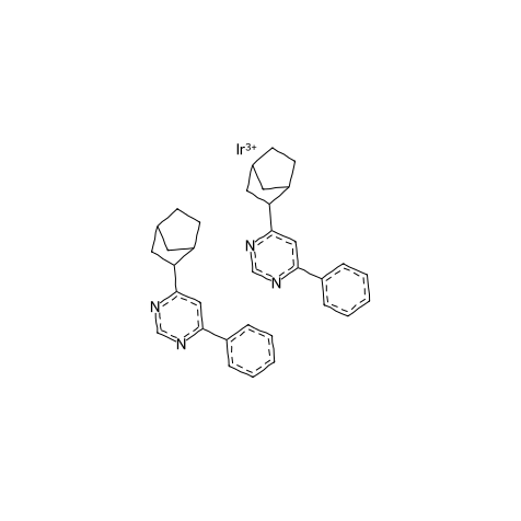 [Ir+3].c1ccc(-c2cc(C3CC4CCC3C4)ncn2)cc1.c1ccc(-c2cc(C3CC4CCC3C4)ncn2)cc1